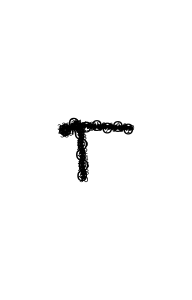 COCCOCCOCCOCCOCC1(COCCOCCOCCOCCOC)COC(c2ccccc2)=N1